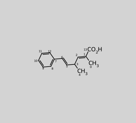 CC(=CC(C)C=Cc1ccccc1)C(=O)O